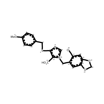 COc1ccc(CSc2ncn(Cc3cc4c(cc3Cl)OCO4)c2C(=O)O)cc1